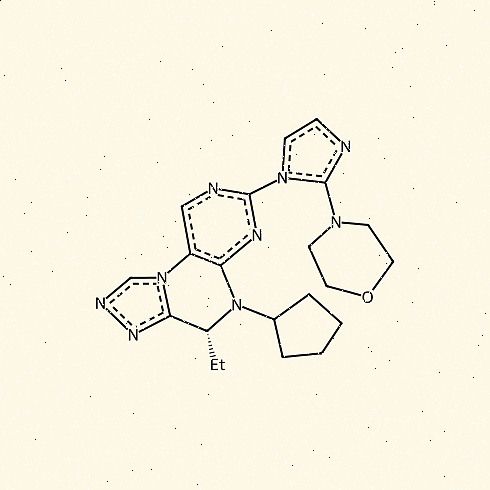 CC[C@@H]1c2nncn2-c2cnc(-n3ccnc3N3CCOCC3)nc2N1C1CCCC1